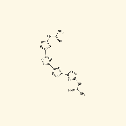 N=C(N)Nc1ccc(-c2ccc(-c3ccc(-c4ccc(NC(=N)N)o4)o3)o2)o1